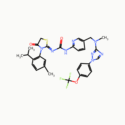 Cc1ccc(C(C)C)c(N2C(=O)CSC2=NC(=O)Nc2ccc(CN(C)c3ncn(-c4ccc(OC(F)(F)F)cc4)n3)cn2)c1